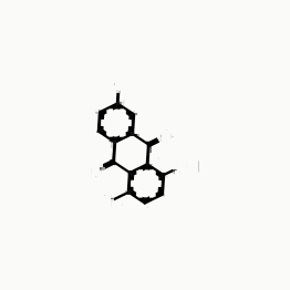 O=C1c2cc(Cl)ccc2C(=O)c2c(Cl)ccc(O)c21